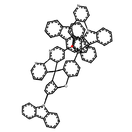 c1cnc2c(c1)C1(c3ccc(-n4c5ccccc5c5ccccc54)cc3Oc3ccc(-c4ccc5c(c4)c4ccccc4n5-c4ccncc4-n4c5ccccc5c5ccccc54)cc31)c1cc(-n3c4ccccc4c4ccccc43)cnc1-2